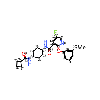 CSc1cccc(Oc2ncc(F)cc2C(=O)N[C@H]2CC[C@@H](NC(=O)C3CCC3)CC2)c1